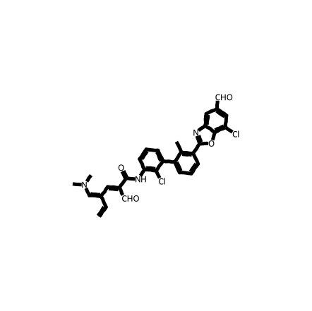 C=CC(=C/N(C)C)/C=C(\C=O)C(=O)Nc1cccc(-c2cccc(-c3nc4cc(C=O)cc(Cl)c4o3)c2C)c1Cl